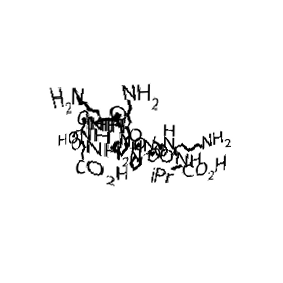 CC(C)C[C@H](NC(=O)[C@H](CCCCN)NC(=O)[C@H](C)NC(=O)[C@@H]1CCCN1C(=O)[C@@H]1CCCN1C(=O)[C@H](CCCCN)NC(=O)[C@H](CCCCN)NC(=O)[C@H](CO)NC(=O)[C@@H](N)CCC(=O)O)C(=O)O